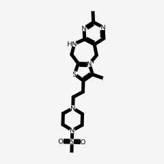 Cc1ncc2c(n1)NCc1sc(CCN3CCN(S(C)(=O)=O)CC3)c(C)[n+]1C2